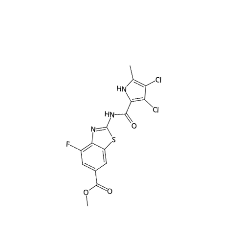 COC(=O)c1cc(F)c2nc(NC(=O)c3[nH]c(C)c(Cl)c3Cl)sc2c1